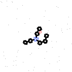 c1ccc(-c2ccc(-c3nc(-c4cccc(-c5cccc(-c6ccccc6)c5)c4)nc(-c4ccc5c(c4)oc4ccccc45)n3)cc2)cc1